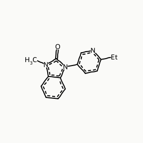 CCc1ccc(-n2c(=O)n(C)c3ccccc32)cn1